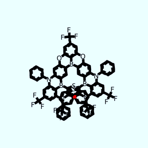 FC(F)(F)c1cc2c3c(c1)Oc1cc4c(cc1B3c1cc3c(cc1O2)N(c1ccccc1)c1cc(C(F)(F)F)cc2c1B3c1sc3ccc(C(F)(F)F)cc3c1N2c1ccccc1)B1c2sc3ccc(C(F)(F)F)cc3c2N(c2ccccc2)c2cc(C(F)(F)F)cc(c21)N4c1ccccc1